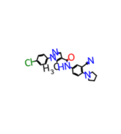 Cc1c(C(=O)Nc2ccc(N3CCCC3)c(C#N)c2)cnn1-c1ccc(Cl)cc1